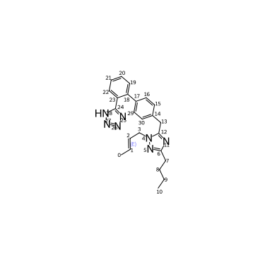 C/C=C/Cn1nc(CCCC)nc1Cc1ccc(-c2ccccc2-c2nnn[nH]2)cc1